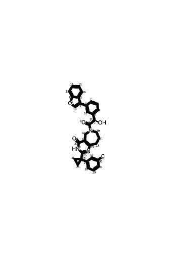 O=C([C@H](O)c1cccc(-c2coc3ccccc23)c1)N1CCCc2nc(C3(c4cccc(Cl)c4)CC3)[nH]c(=O)c2C1